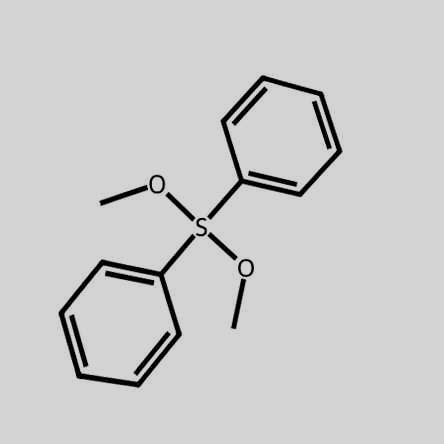 COS(OC)(c1ccccc1)c1ccccc1